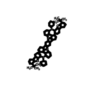 CC(C)(C)c1cccc2c1oc1c(N(c3ccccc3)c3cccc4c3c3cccc5c6cc7c(cc6n4c53)c3cccc4c5c(N(c6ccccc6)c6cccc8c6oc6c(C(C)(C)C)cccc68)cccc5n7c34)cccc12